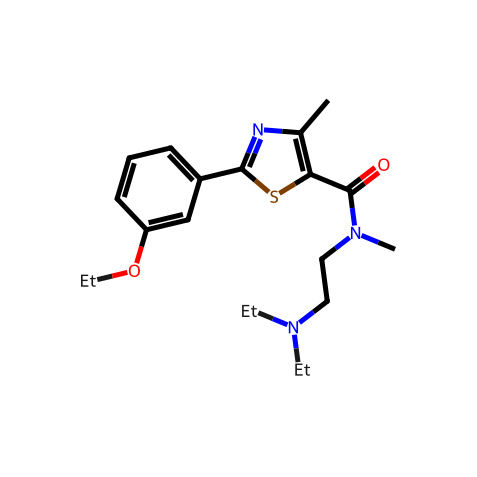 CCOc1cccc(-c2nc(C)c(C(=O)N(C)CCN(CC)CC)s2)c1